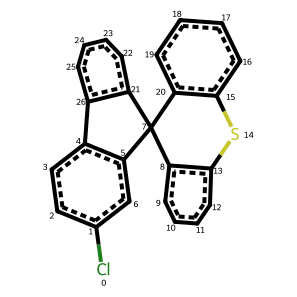 Clc1ccc2c(c1)C1(c3ccccc3Sc3ccccc31)c1ccccc1-2